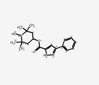 CC1(C)CC(OC(=O)c2cc(-c3ccccc3)n[nH]2)CC(C)(C)N1O